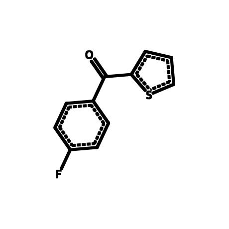 O=C(c1ccc(F)cc1)c1cccs1